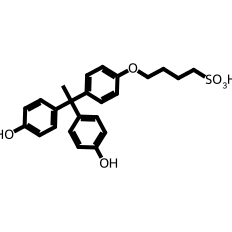 CC(c1ccc(O)cc1)(c1ccc(O)cc1)c1ccc(OCCCCS(=O)(=O)O)cc1